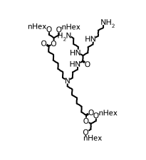 CCCCCCOCC(COCCCCCC)OC(=O)CCCCCCCN(CCCCCCCC(=O)OC(COCCCCCC)COCCCCCC)CCCNC(=O)C(CCCNCCCN)NCCCN